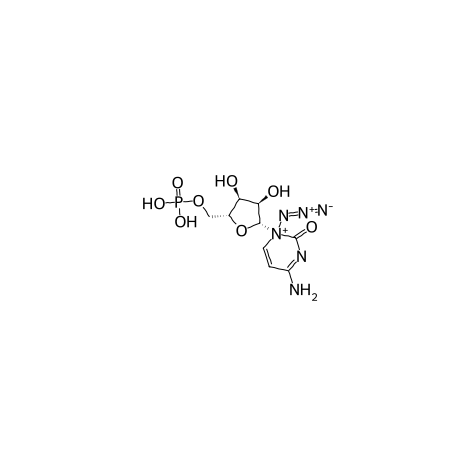 [N-]=[N+]=N[N+]1([C@@H]2O[C@H](COP(=O)(O)O)[C@@H](O)[C@H]2O)C=CC(N)=NC1=O